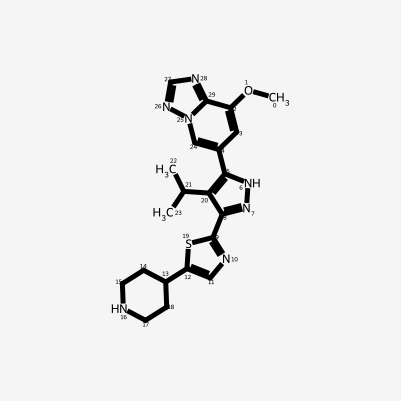 COc1cc(-c2[nH]nc(-c3ncc(C4CCNCC4)s3)c2C(C)C)cn2ncnc12